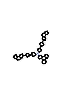 c1ccc2c(c1)ccc1cc(-c3ccc(-c4ccc(N(c5ccc(-c6ccc(-c7ccc8c(ccc9ccccc98)c7)cc6)cc5)c5ccc6c7ccccc7c7ccccc7c6c5)cc4)cc3)ccc12